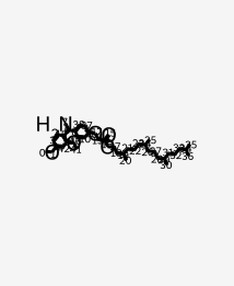 COc1ccc(C(N)c2ccc(OCC(=O)OCC=C(C)CCCC(C)CCCC(C)CCCC(C)C)cc2)c(OC)c1